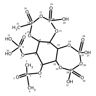 CP(C)(=O)OC1C(OP(=O)(O)O)C2OP(C)(=O)OP(=O)(O)OC2C2OP(=O)(O)OP(=O)(O)OC12